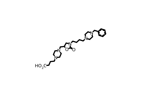 O=C(O)CCCN1CCN(CC2CN(CCCCN3CCN(Cc4ccccc4)CC3)C(=O)O2)CC1